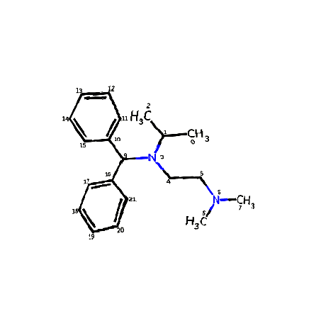 CC(C)N(CCN(C)C)C(c1ccccc1)c1ccccc1